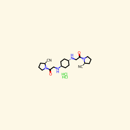 Cl.Cl.N#C[C@@H]1CCCN1C(=O)CN[C@H]1CC[C@H](NCC(=O)N2CCC[C@H]2C#N)CC1